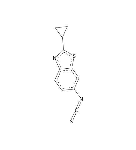 S=C=Nc1ccc2nc(C3CC3)sc2c1